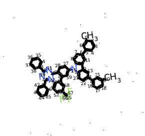 Cc1cccc(-c2ccc3c(c2)c2cc(-c4cccc(C)c4)ccc2n3-c2ccc(-c3nc(-c4ccccc4)nc(-c4ccccc4)n3)c(-c3cccc(C(F)(F)F)c3)c2)c1